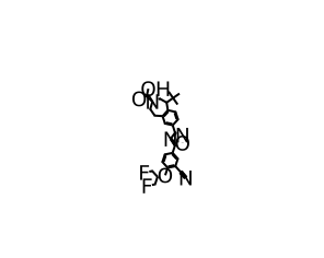 CC(C)(C)C1CN(C(=O)O)CCc2cc(-c3noc(-c4ccc(OC(CF)CF)c(C#N)c4)n3)ccc21